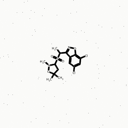 CC(c1noc2c(Cl)cc(Cl)cc12)S(=O)(=O)C1CC(C)(C)ON1C